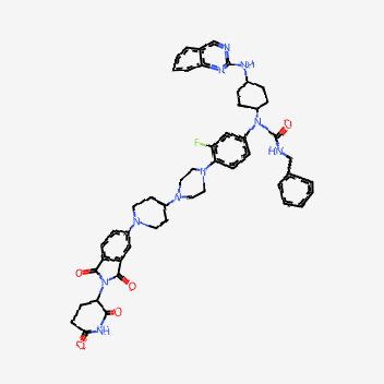 O=C1CCC(N2C(=O)c3ccc(N4CCC(N5CCN(c6ccc(N(C(=O)NCc7ccccc7)C7CCC(Nc8ncc9ccccc9n8)CC7)cc6F)CC5)CC4)cc3C2=O)C(=O)N1